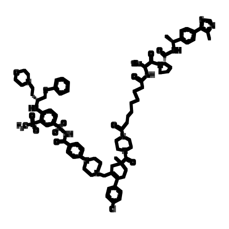 Cc1ncsc1-c1ccc([C@H](C)NC(=O)[C@@H]2CCCN2C(=O)C(NC(=O)CCCCCCCC(=O)N2CCN(C(=O)C3(C)CCC(c4ccc(Cl)cc4)=C(CN4CCN(c5ccc(C(=O)NS(=O)(=O)c6ccc(N[C@H](CCN7CCOCC7)CSc7ccccc7)c(S(=O)(=O)C(F)(F)F)c6)cc5)CC4)C3)CC2)C(C)(C)C)cc1